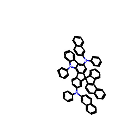 c1ccc(N(c2ccc3c(c2)C2(c4ccccc4-c4c2ccc2ccccc42)c2cc(N(c4ccccc4)c4ccc5ccccc5c4)c4c5ccccc5n(-c5ccccc5)c4c2-3)c2ccc3ccccc3c2)cc1